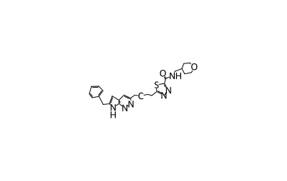 O=C(NCC1CCOCC1)c1nnc(CCCCc2cc3cc(Cc4ccccc4)[nH]c3nn2)s1